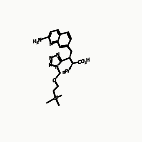 CCC[C@H](C(=O)O)[C@H](Cc1ccc2ccc(N)nc2c1)c1nnnn1COCC[Si](C)(C)C